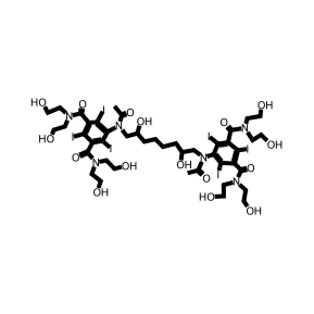 CC(=O)N(CC(O)CCCCC(O)CN(C(C)=O)c1c(I)c(C(=O)N(CCO)CCO)c(I)c(C(=O)N(CCO)CCO)c1I)c1c(I)c(C(=O)N(CCO)CCO)c(I)c(C(=O)N(CCO)CCO)c1I